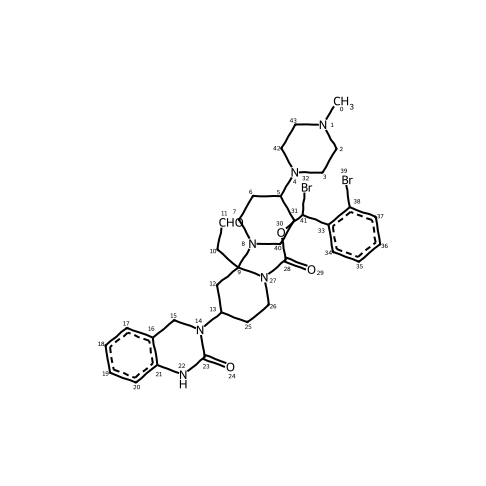 CN1CCN(C2CCN(C3(CC=O)CC(N4Cc5ccccc5NC4=O)CCN3C(=O)OC(Br)c3ccccc3Br)CC2)CC1